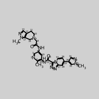 Cc1ncc(NC(=O)CN2CCc3cnn(C)c3C2)cc1NC(=O)c1nnc2cc(-c3cnn(C)c3)ccn12